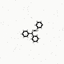 c1ccc(N=NC(c2ccccc2)c2ccccc2)cc1